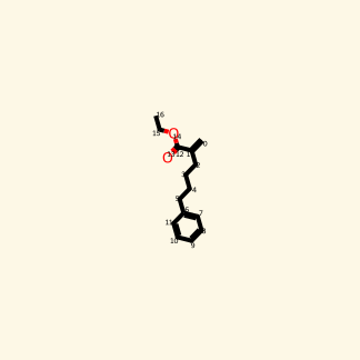 C=C(CCCCc1ccccc1)C(=O)OCC